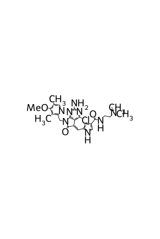 COc1c(C)cnc(CN2C(=O)/C(=C/c3cc(C(=O)NCCN(C)C)c[nH]3)c3c(Cl)nc(N)nc32)c1C